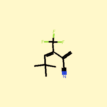 C=C(C#N)/C(=C\C(C)(C)C)C(F)(F)F